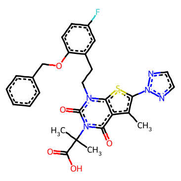 Cc1c(-n2nccn2)sc2c1c(=O)n(C(C)(C)C(=O)O)c(=O)n2CCc1cc(F)ccc1OCc1ccccc1